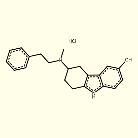 CN(CCc1ccccc1)C1CCc2[nH]c3ccc(O)cc3c2C1.Cl